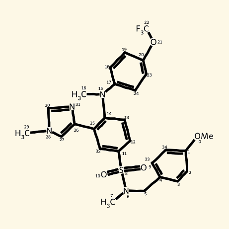 COc1ccc(CN(C)S(=O)(=O)c2ccc(N(C)c3ccc(OC(F)(F)F)cc3)c(-c3cn(C)cn3)c2)cc1